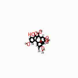 COc1ccc(C2(O)OC(=O)C(c3ccc4c(c3)OCO4)=C2Cc2cc(C)c(OC)c(C)c2)cc1